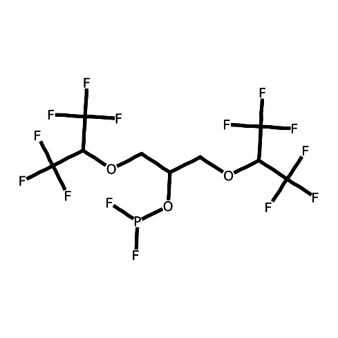 FP(F)OC(COC(C(F)(F)F)C(F)(F)F)COC(C(F)(F)F)C(F)(F)F